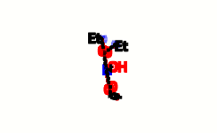 CC/C=C\CCCCOC(CCCCCCCN(CCO)CCCCCCCC(=O)OCCC1(C)CC2CC(C)CC(C2)C1)OCCCC/C=C\CC